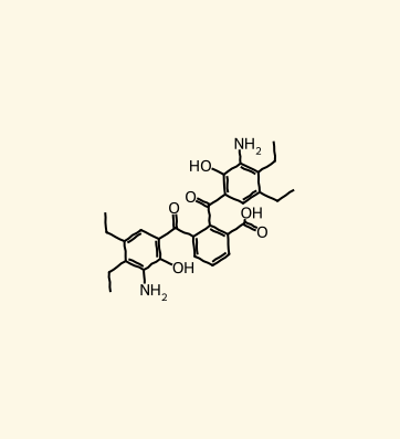 CCc1cc(C(=O)c2cccc(C(=O)O)c2C(=O)c2cc(CC)c(CC)c(N)c2O)c(O)c(N)c1CC